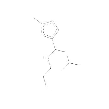 NCCNC(SC(F)F)c1cnc(Cl)s1